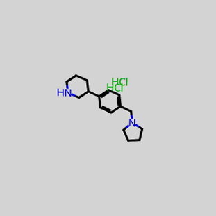 Cl.Cl.c1cc(C2CCCNC2)ccc1CN1CCCC1